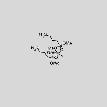 CO[Si](CCCN)(OC)O[Si](C)(C)O[Si](CCCN)(OC)OC